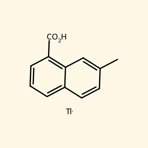 Cc1ccc2cccc(C(=O)O)c2c1.[Tl]